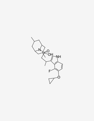 CC1CC2CC(C)(O)CC(C1)N2C(=O)CC(C)c1c[nH]c2ccc(OC3CC3)c(F)c12